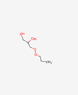 [CH2]CCOOCC(O)CO